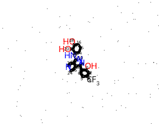 Oc1cc(C(F)(F)F)ccc1-c1nnc(N[C@H]2CCC[C@@H](O)[C@H]2O)c2cnccc12